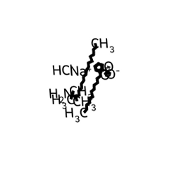 CCCCCCCCCCCCCCCCC(C)C(C)(C)N.CCCCCCCCCCCCc1ccccc1S(=O)(=O)[O-].Cl.[Na+]